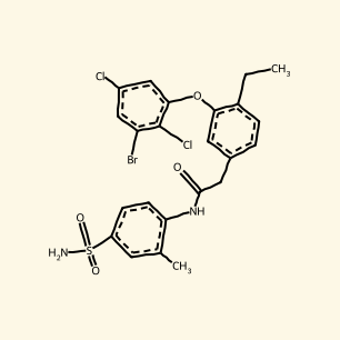 CCc1ccc(CC(=O)Nc2ccc(S(N)(=O)=O)cc2C)cc1Oc1cc(Cl)cc(Br)c1Cl